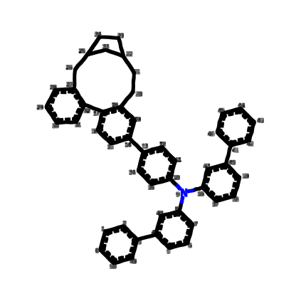 c1ccc(-c2cccc(N(c3ccc(-c4ccc5c(c4)CCC4CCC(Cc6ccccc6-5)C4)cc3)c3cccc(-c4ccccc4)c3)c2)cc1